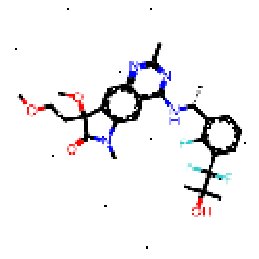 COCCC1(OC)C(=O)N(C)c2cc3c(N[C@H](C)c4cccc(C(F)(F)C(C)(C)O)c4F)nc(C)nc3cc21